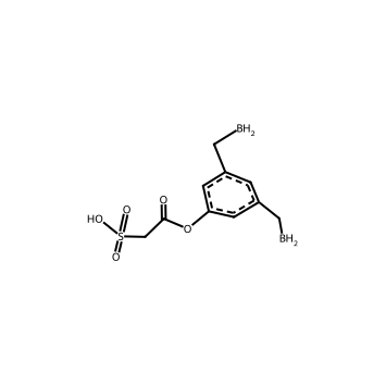 BCc1cc(CB)cc(OC(=O)CS(=O)(=O)O)c1